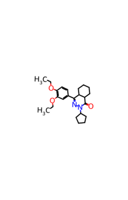 CCOc1ccc(C2=NN(C3CCCC3)C(=O)C3CCCCC23)cc1OCC